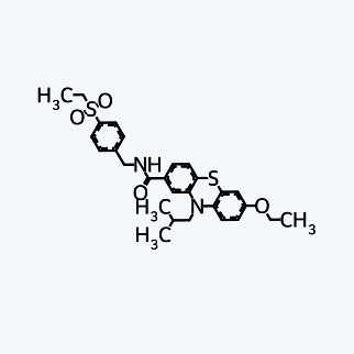 CCOc1ccc2c(c1)Sc1ccc(C(=O)NCc3ccc(S(=O)(=O)CC)cc3)cc1N2CC(C)C